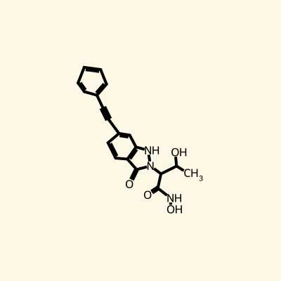 CC(O)C(C(=O)NO)n1[nH]c2cc(C#Cc3ccccc3)ccc2c1=O